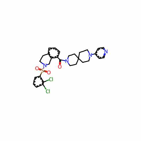 O=C(c1cccc2c1CN(S(=O)(=O)c1cccc(Cl)c1Cl)CC2)N1CCC2(CC1)CCN(c1ccncc1)CC2